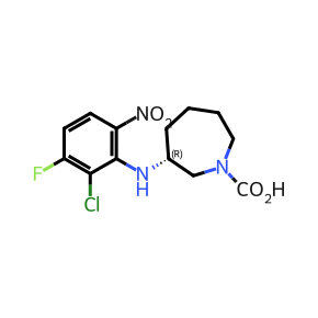 O=C(O)N1CCCC[C@@H](Nc2c([N+](=O)[O-])ccc(F)c2Cl)C1